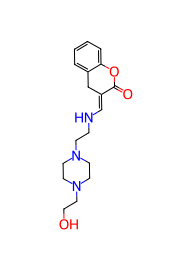 O=C1Oc2ccccc2CC1=CNCCN1CCN(CCO)CC1